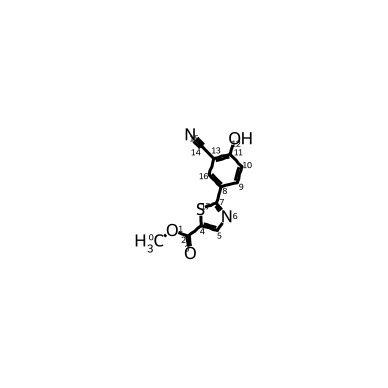 COC(=O)c1cnc(-c2ccc(O)c(C#N)c2)s1